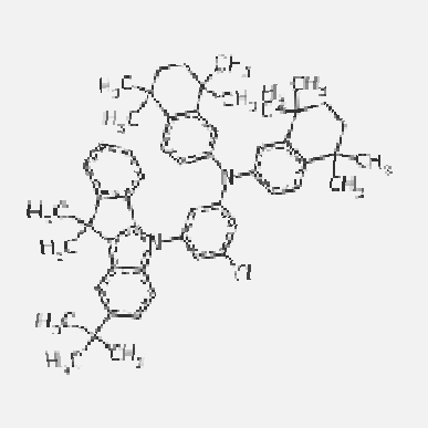 CC(C)(C)c1ccc2c(c1)c1c(n2-c2cc(Cl)cc(N(c3ccc4c(c3)C(C)(C)CCC4(C)C)c3ccc4c(c3)C(C)(C)CCC4(C)C)c2)-c2ccccc2C1(C)C